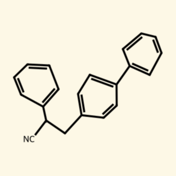 N#C[C](Cc1ccc(-c2ccccc2)cc1)c1ccccc1